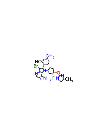 Cc1ccnc(Oc2ccc(-n3c(-c4ccc(N)cc4C#N)c(Br)c4ncnc(N)c43)cc2F)n1